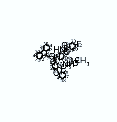 COCCCCC1(CNC(=O)[C@H]2C[C@@H](NS(=O)(=O)c3ccc(F)cc3)CN(C(=O)OCC3c4ccccc4-c4ccccc43)C2)c2ccccc2Oc2ccccc21